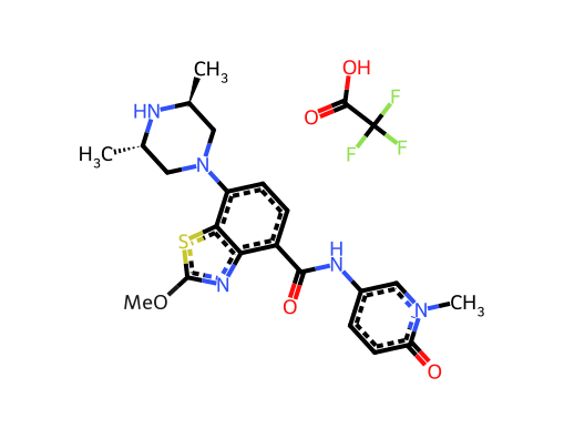 COc1nc2c(C(=O)Nc3ccc(=O)n(C)c3)ccc(N3C[C@H](C)N[C@@H](C)C3)c2s1.O=C(O)C(F)(F)F